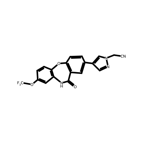 N#CCn1cc(-c2ccc3c(c2)C(=O)Nc2cc(OC(F)(F)F)ccc2O3)cn1